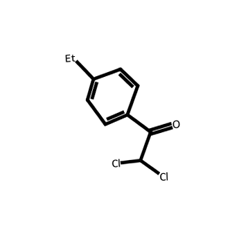 CCc1ccc(C(=O)C(Cl)Cl)cc1